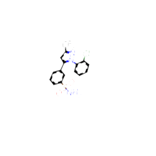 NS(=O)(=O)c1cccc(-c2cc(C(F)(F)F)nn2-c2ccccc2Cl)c1